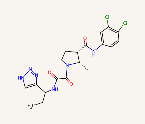 C[C@H]1[C@@H](C(=O)Nc2ccc(Cl)c(Cl)c2)CCN1C(=O)C(=O)NC(CC(F)(F)F)c1c[nH]nn1